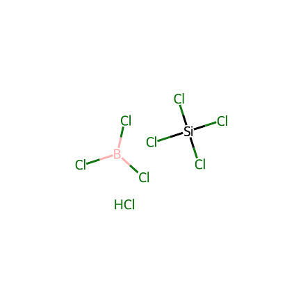 Cl.ClB(Cl)Cl.Cl[Si](Cl)(Cl)Cl